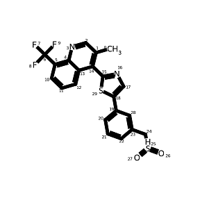 Cc1cnc2c(C(F)(F)F)cccc2c1-c1ncc(-c2cccc(C[SH](=O)=O)c2)s1